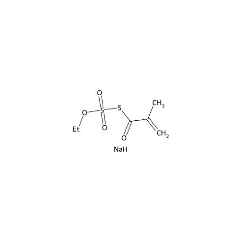 C=C(C)C(=O)SS(=O)(=O)OCC.[NaH]